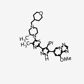 COc1cc(-c2[nH]nc(-c3nc(C)c(N4CCN(CC5CCOCC5)C[C@H]4C)s3)c2C(C)C)cn2ncnc12